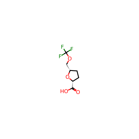 O=C(O)[C@H]1CC[C@@H](COC(F)(F)F)O1